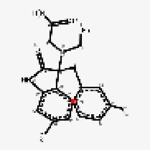 CC(C)(C)CN(CC(N)=O)[C@@]1(Cc2cccc(Cl)c2)C(=O)Nc2cc(Cl)ccc21